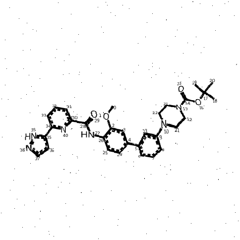 COc1cc(-c2cccc(N3CCN(C(=O)OC(C)(C)C)CC3)c2)ccc1NC(=O)c1cccc(-c2ccn[nH]2)n1